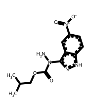 CC(C)COC(=O)N(N)c1n[nH]c2ccc([N+](=O)[O-])cc12